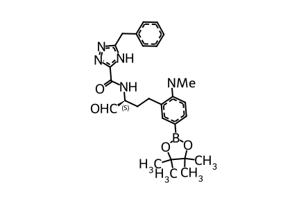 CNc1ccc(B2OC(C)(C)C(C)(C)O2)cc1CC[C@@H](C=O)NC(=O)c1nnc(Cc2ccccc2)[nH]1